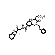 O=C(O)CC1Nc2ccc(C(=O)NCC(=O)c3nc4ccccc4[nH]3)cc2CN(CCc2ccccc2)C1=O